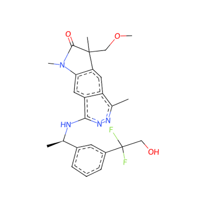 COCC1(C)C(=O)N(C)c2cc3c(N[C@H](C)c4cccc(C(F)(F)CO)c4)nnc(C)c3cc21